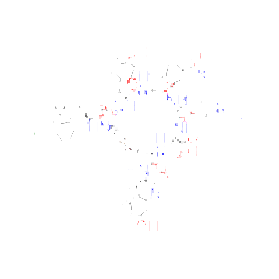 CN[C@@H](Cc1ccc(Cl)cc1)C(=O)N[C@@H]1CSSC[C@@H](C(=O)N[C@H](Cc2ccc(O)cc2)C(N)=O)NC(=O)[C@H]([C@@H](C)O)NC(=O)[C@H](CCCCN)NC(=O)[C@@H](Cc2ccc(C(N)=O)cc2)NC(=O)[C@H](Cc2ccc(O)cc2)NC1=O